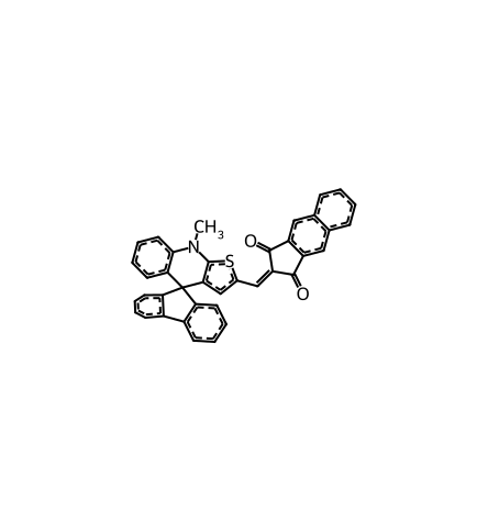 CN1c2ccccc2C2(c3ccccc3-c3ccccc32)c2cc(C=C3C(=O)c4cc5ccccc5cc4C3=O)sc21